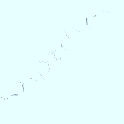 COc1ccc(CSC(C)(C)CC(=O)NNC(=O)CC(C)(C)SCc2ccc(OC)cc2)cc1